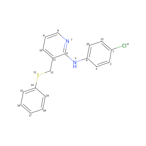 Clc1ccc(Nc2ncccc2CSc2ccccc2)cc1